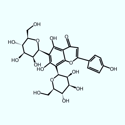 O=c1cc(-c2ccc(O)cc2)oc2c([C@@H]3O[C@H](CO)[C@@H](O)[C@H](O)[C@@H]3O)c(O)c([C@@H]3O[C@H](CO)[C@@H](O)[C@H](O)[C@@H]3O)c(O)c12